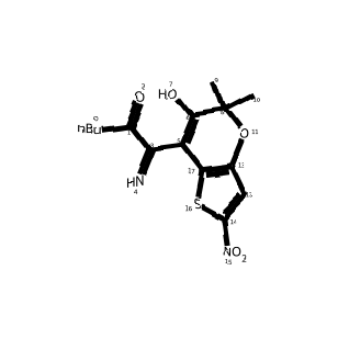 CCCCC(=O)C(=N)C1=C(O)C(C)(C)Oc2cc([N+](=O)[O-])sc21